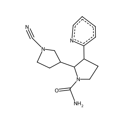 N#CN1CCC(C2C(c3ccccn3)CCN2C(N)=O)C1